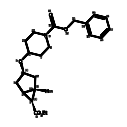 CCOC(=O)[C@@H]1C2C[C@@H](OC3CCN(C(=O)OCc4ccccc4)CC3)C[C@@H]21